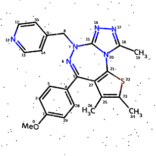 COc1ccc(C2=NN(Cc3ccncc3)c3nnc(C)n3-c3sc(C)c(C)c32)cc1